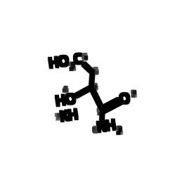 NC(=O)C(O)CC(=O)O.[KH]